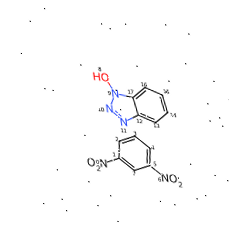 O=[N+]([O-])c1cccc([N+](=O)[O-])c1.On1nnc2ccccc21